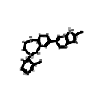 Cc1nc2ncc(-c3ccc4c(c3)CN(c3ncncc3C)CCO4)cc2[nH]1